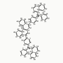 c1ccc(N(c2ccc(-c3cc4cc(-c5ccc(N(c6ccccc6)c6cccc7ccccc67)cc5)c5ccccc5c4c4ccccc34)cc2)c2cccc3ccccc23)cc1